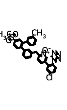 Cc1cccc(-c2cc(S(C)(=O)=O)ccc2-c2cccc(Cc3ccc(-c4cc(Cl)ccc4-n4cnnn4)c[n+]3[O-])c2)c1